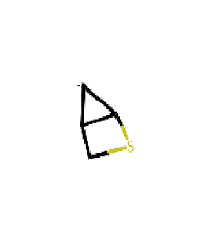 [CH]1C2CSC12